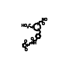 O=NC(=O)CN1CCN(CC(=O)O)CCN(Cc2ccc(CC(=O)NCCN3C(=O)C=CC3=O)cc2)CC1